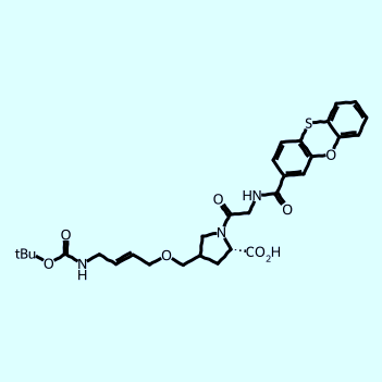 CC(C)(C)OC(=O)NC/C=C/COCC1C[C@@H](C(=O)O)N(C(=O)CNC(=O)c2ccc3c(c2)Oc2ccccc2S3)C1